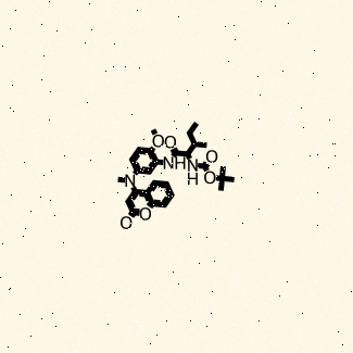 CCC(C)C(NC(=O)OC(C)(C)C)C(=O)Nc1cc(N(C)c2cc(=O)oc3ccccc23)ccc1OC